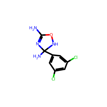 NC1=NC(N)(c2cc(Cl)cc(Cl)c2)NO1